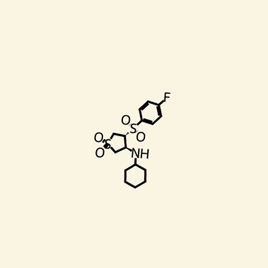 O=S1(=O)C[C@H](NC2CCCCC2)[C@@H](S(=O)(=O)c2ccc(F)cc2)C1